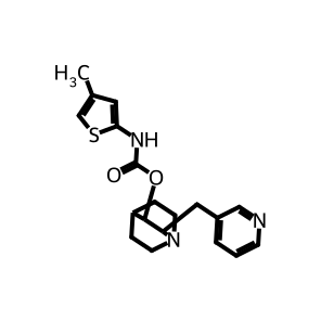 Cc1csc(NC(=O)OC2C3CCN(CC3)C2Cc2cccnc2)c1